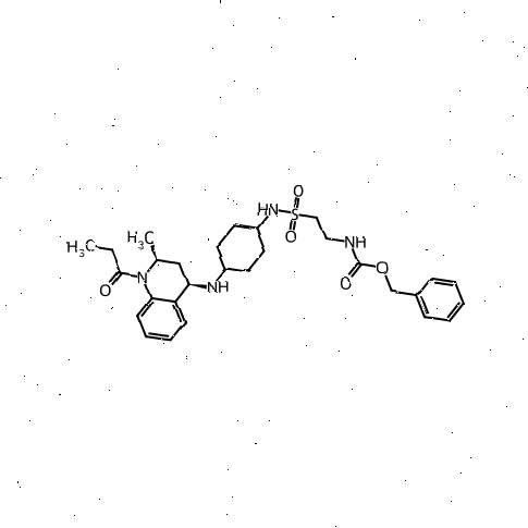 CCC(=O)N1c2ccccc2[C@H](NC2CCC(NS(=O)(=O)CCNC(=O)OCc3ccccc3)CC2)C[C@@H]1C